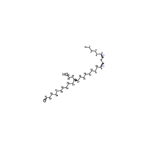 CCCCC/C=C\C/C=C\CCCCCCCCN(CCO)CCCCCCCCCC=O